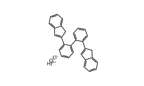 C1=C(c2ccccc2-c2ccccc2C2=Cc3ccccc3C2)Cc2ccccc21.[Cl-].[Cl-].[Hf+2]